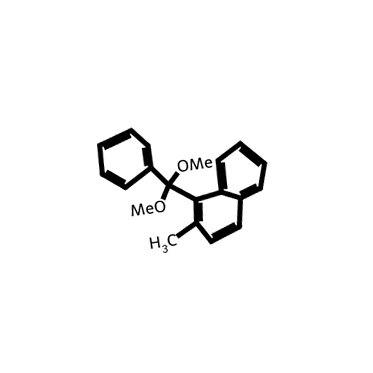 COC(OC)(c1ccccc1)c1c(C)ccc2ccccc12